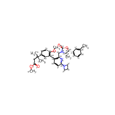 COC(=O)CC(C)(C)c1ccc(OC)c(-c2ccc(N3CCC3)nc2CN2C(=O)O[C@H](c3cccc(C)c3)[C@@H]2C)c1